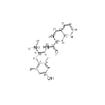 Cc1cc(O)cc(C)c1C[C@@H](CNC(=O)c1cc2ccccc2cn1)N(C)C